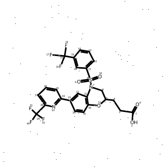 O=C(O)CCC1CN(S(=O)(=O)c2cccc(C(F)(F)F)c2)c2cc(-c3cccc(C(F)(F)F)n3)ccc2O1